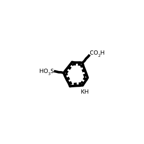 O=C(O)c1cccc(S(=O)(=O)O)c1.[KH]